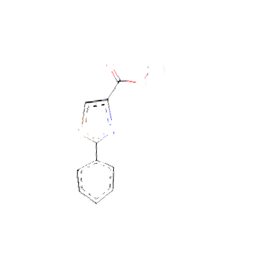 COC(=O)c1csc(-c2c[c][c]cc2)n1